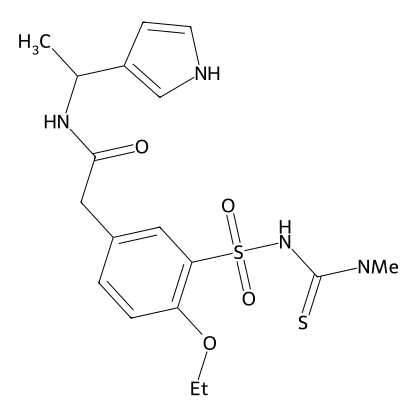 CCOc1ccc(CC(=O)NC(C)c2cc[nH]c2)cc1S(=O)(=O)NC(=S)NC